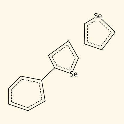 c1cc[se]c1.c1ccc(-c2ccc[se]2)cc1